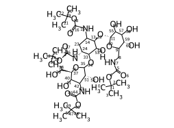 CC(C)(C)OC(=O)NCC1O[C@H](O[C@@H]2C(NC(=O)OC(C)(C)C)C[C@@H](NC(=O)OC(C)(C)C)C(OC3O[C@H](CO)C(O)C(NC(=O)OC(C)(C)C)[C@H]3O)C2O)C(O)C(O)[C@@H]1O